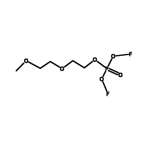 COCCOCCOP(=O)(OF)OF